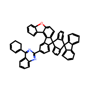 C1=CCCC(c2nc(-c3ccc4c(c3)-c3c(ccc5oc6ccccc6c35)C43c4ccccc4C4(c5ccccc5-c5ccccc54)c4ccccc43)nc3ccccc23)=C1